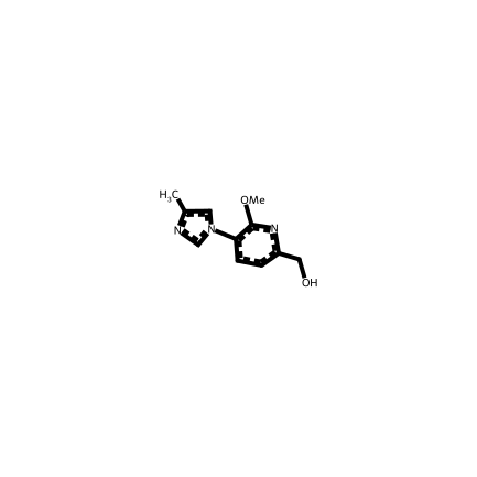 COc1nc(CO)ccc1-n1cnc(C)c1